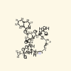 C[C@@H]1CC/C=C\[C@@H]2C[C@@]2(C(=O)NS(=O)(=O)C2CC2)NC(=O)[C@@H]2C[C@@H](Oc3nccc4ccccc34)CN2C(=O)[C@@H](NC(=O)O)[C@H](C)C1